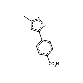 Cc1cc(-c2ccc(C(=O)O)cc2)on1